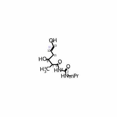 CCCNC(=O)NC(=O)C(C)C(O)C/C=C/O